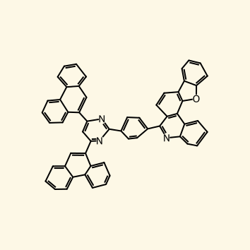 c1ccc2c(c1)cc(-c1cc(-c3cc4ccccc4c4ccccc34)nc(-c3ccc(-c4nc5ccccc5c5c4ccc4c6ccccc6oc45)cc3)n1)c1ccccc12